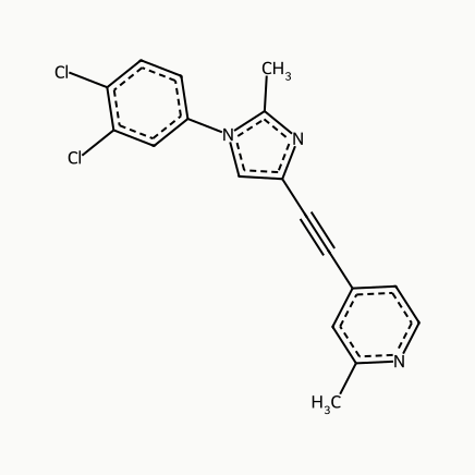 Cc1cc(C#Cc2cn(-c3ccc(Cl)c(Cl)c3)c(C)n2)ccn1